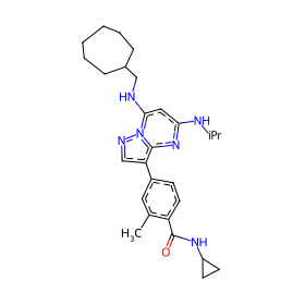 Cc1cc(-c2cnn3c(NCC4CCCCCC4)cc(NC(C)C)nc23)ccc1C(=O)NC1CC1